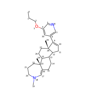 CCCOc1cncc(C2=CCC3C4CCC5=CN(C)CCC[C@]5(C)C4CC[C@]23C)c1